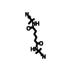 CC(C)(C#N)NC(=O)CCCCC(=O)NC(C)(C)C#N